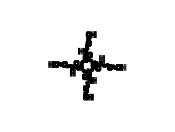 O=C(CN1CCN(CC(=O)NCCOCCO)CCN(CC(=O)NCCOCCO)CCN(CC(=O)NCCOCCO)CC1)NCCOCCO